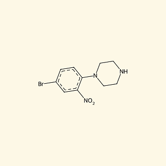 O=[N+]([O-])c1cc(Br)ccc1N1CCNCC1